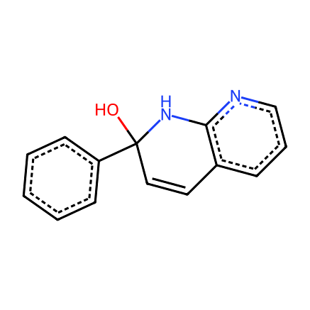 OC1(c2ccccc2)C=Cc2cccnc2N1